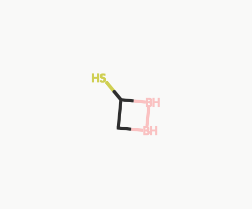 SC1BBC1